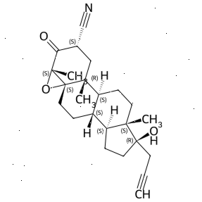 C#CC[C@]1(O)CC[C@H]2[C@@H]3CC[C@@]45O[C@]4(C)C(=O)[C@H](C#N)C[C@]5(C)[C@H]3CC[C@@]21C